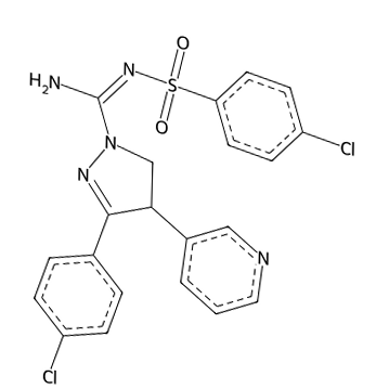 NC(=NS(=O)(=O)c1ccc(Cl)cc1)N1CC(c2cccnc2)C(c2ccc(Cl)cc2)=N1